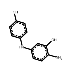 Nc1ccc(Nc2ccc(O)cc2)cc1O